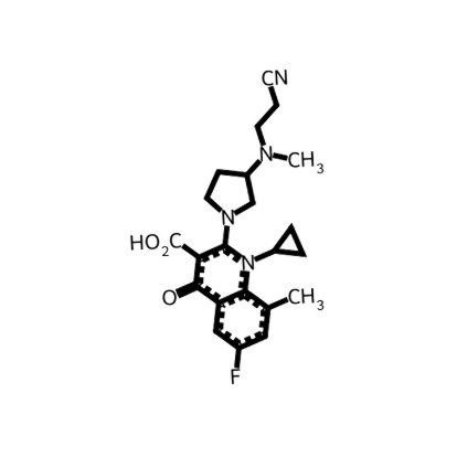 Cc1cc(F)cc2c(=O)c(C(=O)O)c(N3CCC(N(C)CCC#N)C3)n(C3CC3)c12